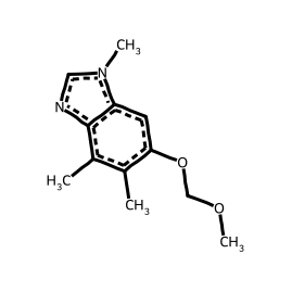 COCOc1cc2c(ncn2C)c(C)c1C